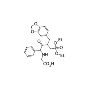 CCOP(=O)(CC(Cc1ccc2c(c1)OCO2)C(=O)C(NCC(=O)O)c1ccccc1)OCC